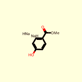 COC(=O)c1ccc(O)cc1.[NaH].[NaH]